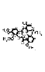 COc1ccc(OC)c(C(=O)COc2c(C(=O)Cc3c(Cl)cncc3Cl)ccc(OC)c2OC)c1